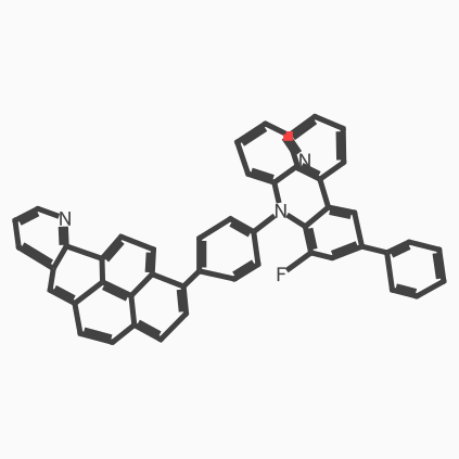 Fc1cc(-c2ccccc2)cc(-c2ccccc2)c1N(c1ccc(-c2ccc3ccc4cc5cccnc5c5ccc2c3c45)cc1)c1ccccn1